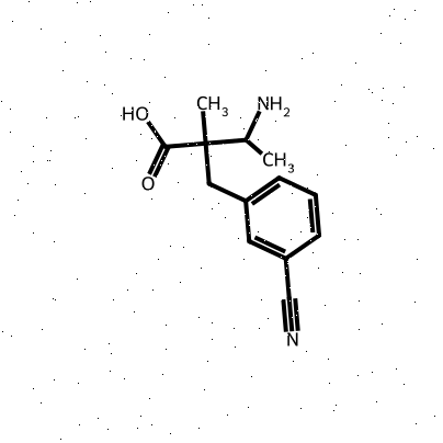 CC(N)C(C)(Cc1cccc(C#N)c1)C(=O)O